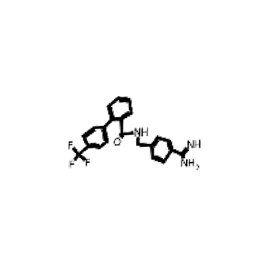 N=C(N)c1ccc(CNC(=O)c2ccccc2-c2ccc(C(F)(F)F)cc2)cc1